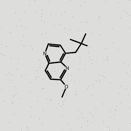 COc1ccc2nccc(CC(C)(C)C)c2n1